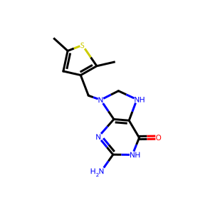 Cc1cc(CN2CNc3c2nc(N)[nH]c3=O)c(C)s1